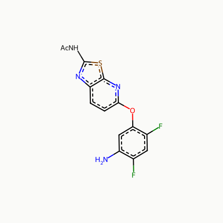 CC(=O)Nc1nc2ccc(Oc3cc(N)c(F)cc3F)nc2s1